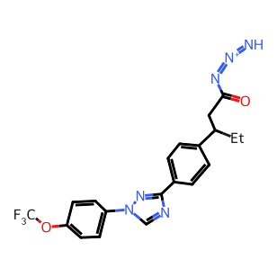 CCC(CC(=O)N=[N+]=N)c1ccc(-c2ncn(-c3ccc(OC(F)(F)F)cc3)n2)cc1